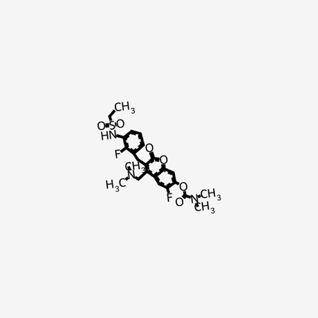 CCS(=O)(=O)Nc1cccc(Cc2c(CN(C)C)c3cc(F)c(OC(=O)N(C)C)cc3oc2=O)c1F